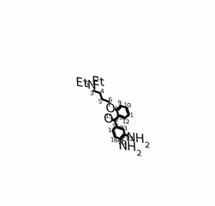 CCN(CC)CCCCOc1ccccc1C(=O)c1ccc(N)c(N)c1